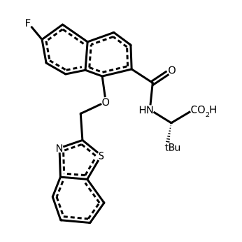 CC(C)(C)[C@H](NC(=O)c1ccc2cc(F)ccc2c1OCc1nc2ccccc2s1)C(=O)O